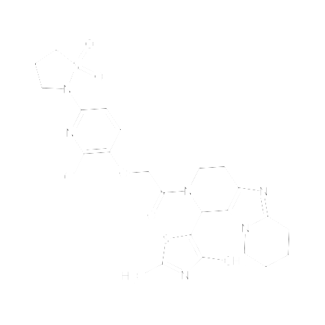 Cc1nc(C)c(C2c3c(nc4n3CCCC4)CCN2C(=O)COc2ccc(N3CCCS3(=O)=O)nc2Cl)s1